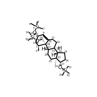 C[C@H]1C[C@H](O[Si](C)(C)C)C=C2CC[C@H]3[C@@H]4CC[C@H](O[Si](C)(C)C)[C@@]4(C)CC[C@@H]3[C@]21CO[Si](C)(C)C